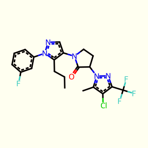 CCCc1c(N2CCC(n3nc(C(F)(F)F)c(Cl)c3C)C2=O)cnn1-c1cccc(F)c1